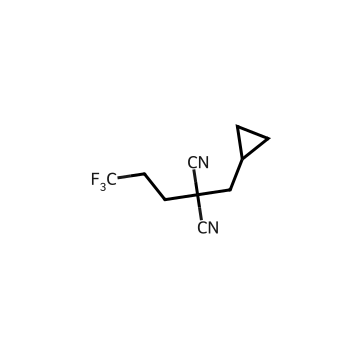 N#CC(C#N)(CCC(F)(F)F)CC1CC1